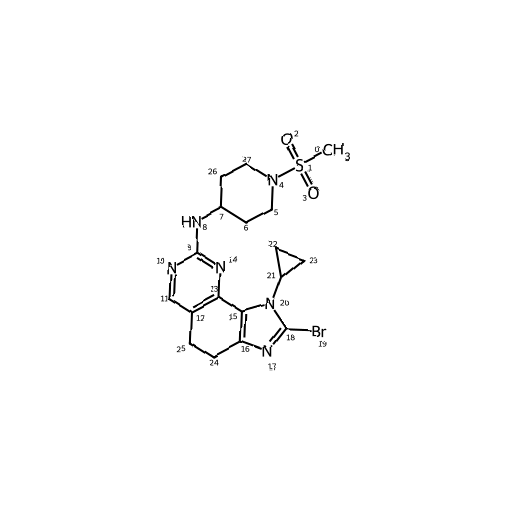 CS(=O)(=O)N1CCC(Nc2ncc3c(n2)-c2c(nc(Br)n2C2CC2)CC3)CC1